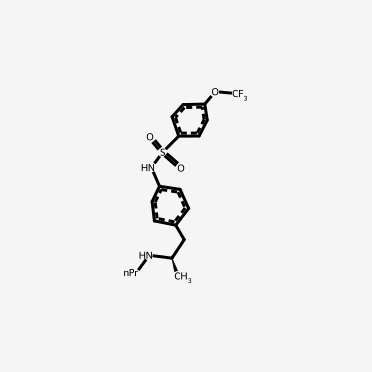 CCCN[C@H](C)Cc1ccc(NS(=O)(=O)c2ccc(OC(F)(F)F)cc2)cc1